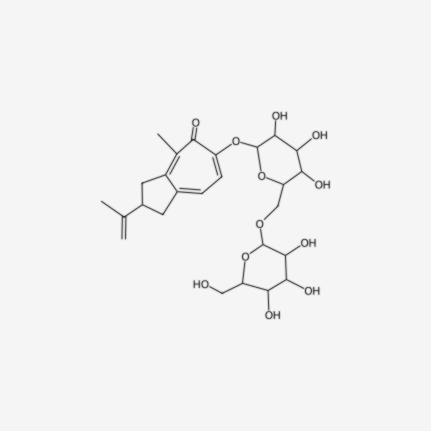 C=C(C)C1Cc2ccc(OC3OC(COC4OC(CO)C(O)C(O)C4O)C(O)C(O)C3O)c(=O)c(C)c2C1